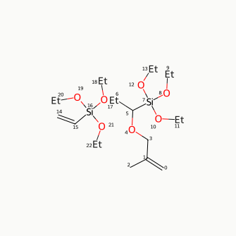 C=C(C)COC(CC)[Si](OCC)(OCC)OCC.C=C[Si](OCC)(OCC)OCC